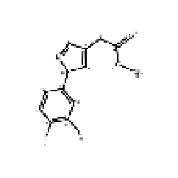 CC(C)(C)OC(=O)Cc1cnn(-c2ccc(F)c(Cl)c2)c1